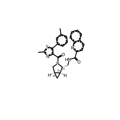 Cc1cccc(-c2sc(C)nc2C(=O)N2C[C@@H]3C[C@@H]3[C@H]2CNC(=O)c2ccc3ccccc3n2)c1